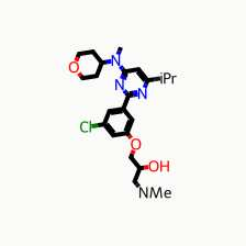 CNCC(O)COc1cc(Cl)cc(-c2nc(C(C)C)cc(N(C)C3CCOCC3)n2)c1